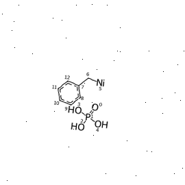 O=P(O)(O)O.[Ni][CH2]c1ccccc1